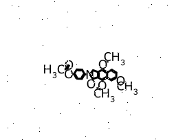 CCOc1c2c(c(OCC)c3cc(OC)ccc13)C(=O)N(c1ccc(OC(C)=O)cc1)C2